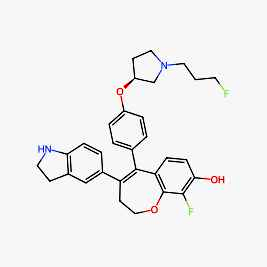 Oc1ccc2c(c1F)OCCC(c1ccc3c(c1)CCN3)=C2c1ccc(O[C@H]2CCN(CCCF)C2)cc1